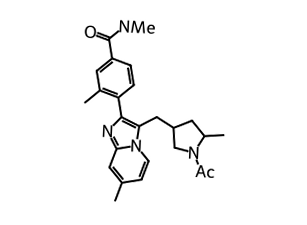 CNC(=O)c1ccc(-c2nc3cc(C)ccn3c2CC2CC(C)N(C(C)=O)C2)c(C)c1